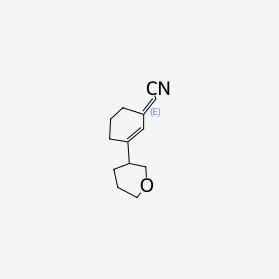 N#C/C=C1/C=C(C2CCCOC2)CCC1